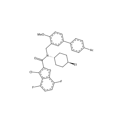 CC[C@H]1CC[C@H](N(Cc2cc(-c3ccc(C(C)=O)cc3)ccc2OC)C(=O)c2sc3c(F)ccc(F)c3c2Cl)CC1